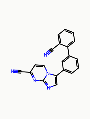 N#Cc1ccn2c(-c3cccc(-c4ccccc4C#N)c3)cnc2n1